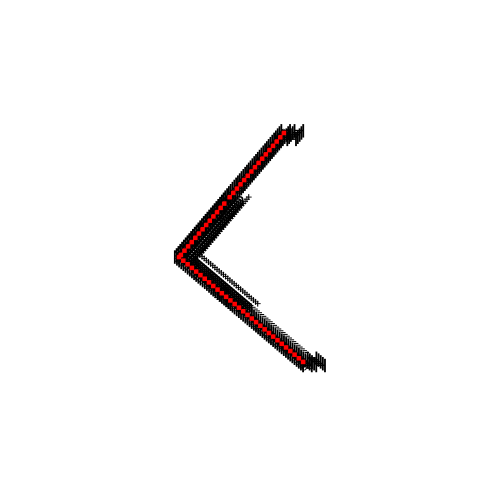 [H-].[H-].[H-].[H-].[H-].[H-].[H-].[H-].[H-].[H-].[H-].[H-].[H-].[H-].[H-].[H-].[H-].[H-].[H-].[H-].[H-].[H-].[H-].[H-].[H-].[H-].[H-].[H-].[H-].[H-].[H-].[H-].[H-].[H-].[H-].[H-].[H-].[H-].[H-].[H-].[H-].[H-].[H-].[H-].[H-].[H-].[H-].[H-].[H-].[H-].[H-].[H-].[H-].[H-].[H-].[HH].[HH].[HH].[HH].[HH].[HH].[HH].[HH].[HH].[HH].[Na+].[Na+].[Na+].[Na+].[Na+].[Na+].[Na+].[Na+].[Na+].[Na+].[Na+].[Na+].[Na+].[Na+].[Na+].[Na+].[Na+].[Na+].[Na+].[Na+].[Na+].[Na+].[Na+].[Na+].[Na+].[Na+].[Na+].[Na+].[Na+].[Na+].[Na+].[Na+].[Na+].[Na+].[Na+].[Na+].[Na+].[Na+].[Na+].[Na+].[Na+].[Na+].[Na+].[Na+].[Na+].[Na+].[Na+].[Na+].[Na+].[Na+].[Na+].[Na+].[Na+].[Na+].[Na+]